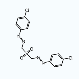 O=S(=O)(CN=Nc1ccc(Cl)cc1)CN=Nc1ccc(Cl)cc1